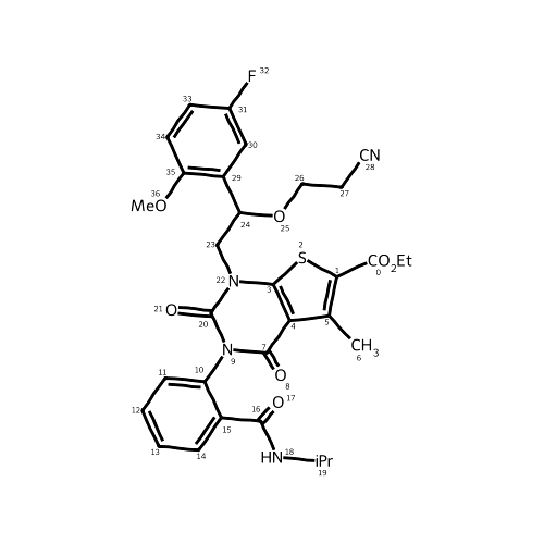 CCOC(=O)c1sc2c(c1C)c(=O)n(-c1ccccc1C(=O)NC(C)C)c(=O)n2CC(OCCC#N)c1cc(F)ccc1OC